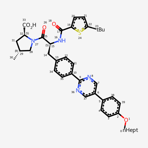 CCCCCCCOc1ccc(-c2cnc(-c3ccc(C[C@H](NC(=O)c4ccc(C(C)(C)C)s4)C(=O)N4C[C@H](C)C[C@H]4C(=O)O)cc3)nc2)cc1